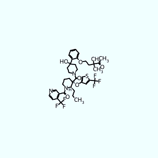 CCC[C@H]1N(C(=O)c2cnccc2C(F)(F)F)CCC[C@@]1(Oc1csc(C(F)(F)F)c1)C(=O)N1CCC(O)(c2ccccc2OCCC(C)(C)C(C)=O)CC1